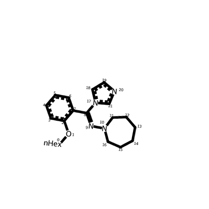 CCCCCCOc1ccccc1C(=NN1CCCCCC1)n1ccnc1